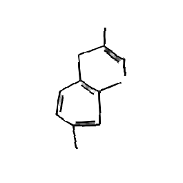 CC1=COc2cc(C)ccc2C1